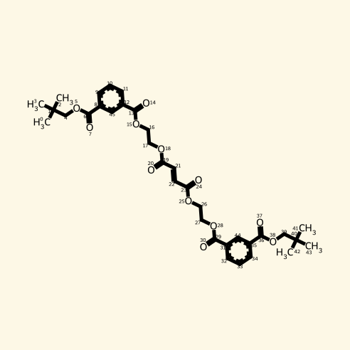 CC(C)(C)COC(=O)c1cccc(C(=O)OCCOC(=O)/C=C/C(=O)OCCOC(=O)c2cccc(C(=O)OCC(C)(C)C)c2)c1